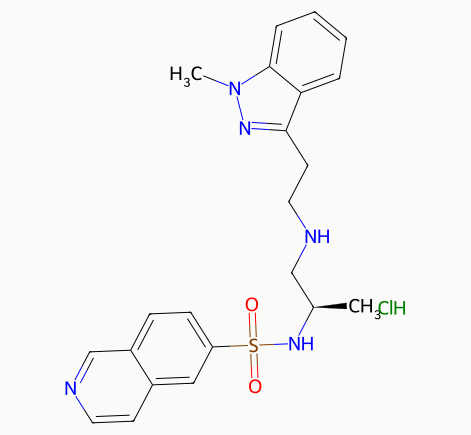 C[C@H](CNCCc1nn(C)c2ccccc12)NS(=O)(=O)c1ccc2cnccc2c1.Cl